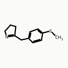 CSc1ccc(CC2=NCCC2)cc1